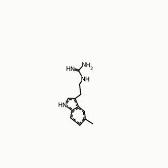 Cc1ccc2[nH]cc(CCNC(=N)N)c2c1